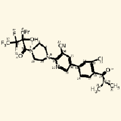 CCCC(O)(C(=O)N1CCN(c2ncc(-c3ccc(C(=O)N(C)C)c(Cl)c3)cc2C#N)CC1)C(F)(F)C(F)(F)F